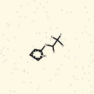 FC(Oc1ccc[nH]1)C(F)(F)F